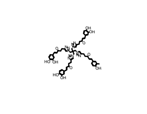 Cc1cc(/C=C/C(=O)CCc2cn(CC(Cn3cc(CCC(=O)/C=C/c4ccc(O)c(O)c4)nn3)(Cn3cc(CCC(=O)/C=C/c4ccc(O)c(O)c4)nn3)Cn3cc(CCC(=O)/C=C/c4ccc(O)c(O)c4)nn3)nn2)ccc1O